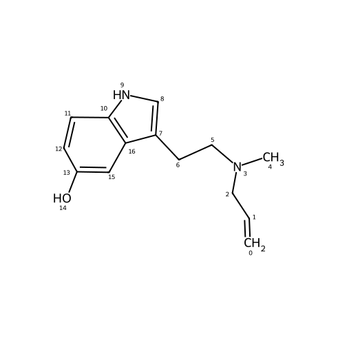 C=CCN(C)CCc1c[nH]c2ccc(O)cc12